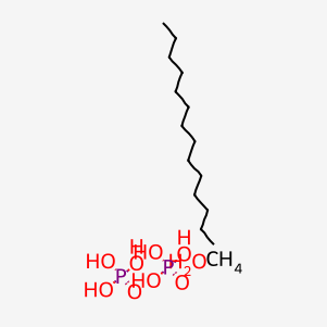 C.CCCCCCCCCCCCCC.O.O=P(O)(O)O.O=P(O)(O)O